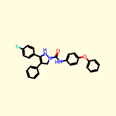 O=C(Nc1ccc(Oc2ccccc2)cc1)N1CC(c2ccccc2)=C(c2ccc(F)cc2)N1